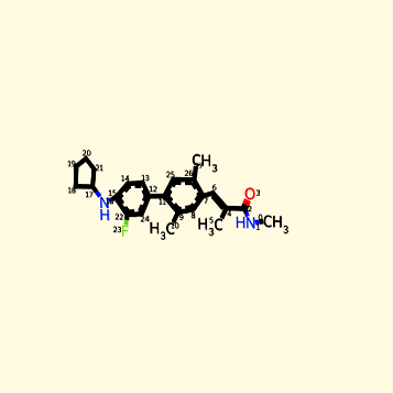 CNC(=O)/C(C)=C/c1cc(C)c(-c2ccc(NC3CCCC3)c(F)c2)cc1C